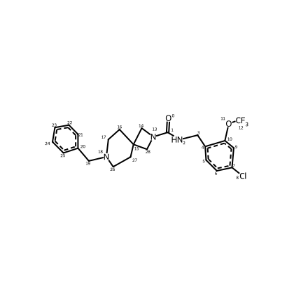 O=C(NCc1ccc(Cl)cc1OC(F)(F)F)N1CC2(CCN(Cc3ccccc3)CC2)C1